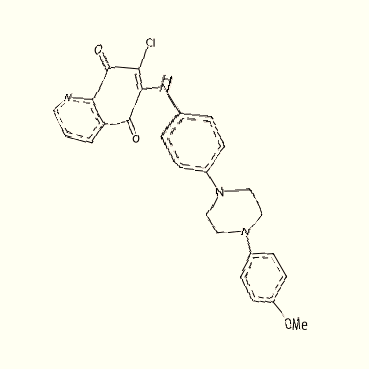 COc1ccc(N2CCN(c3ccc(NC4=C(Cl)C(=O)c5ncccc5C4=O)cc3)CC2)cc1